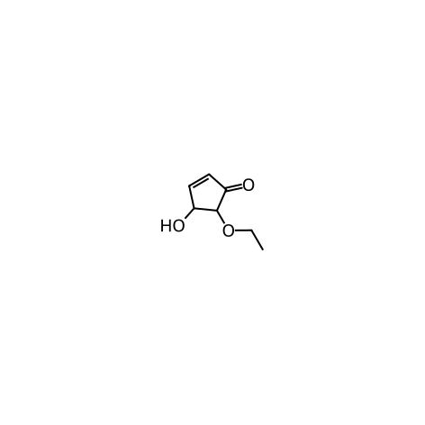 CCOC1C(=O)C=CC1O